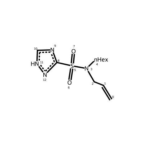 C=CCN(CCCCCC)S(=O)(=O)c1nc[nH]n1